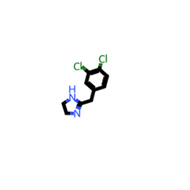 Clc1ccc(CC2=NCCN2)cc1Cl